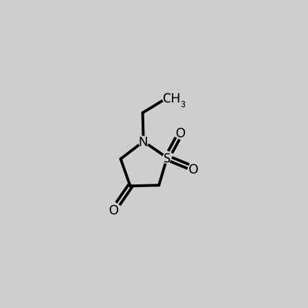 CCN1CC(=O)CS1(=O)=O